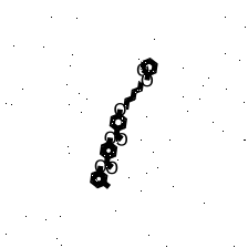 Cc1cccc(OC(=O)c2ccc(OC(=O)C3CCC(OCCCCCCOC4CCCCO4)CC3)cc2)c1